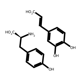 N[C@@H](Cc1ccc(O)cc1)C(=O)O.O=C(O)/C=C/c1ccc(O)c(O)c1